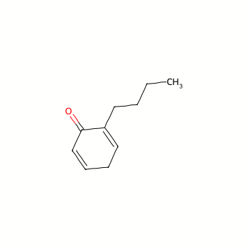 CCCCC1=CCC=CC1=O